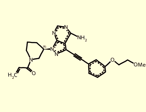 C=CC(=O)N1CCC[C@@H](n2nc(C#Cc3cccc(OCCOC)c3)c3c(N)ncnc32)C1